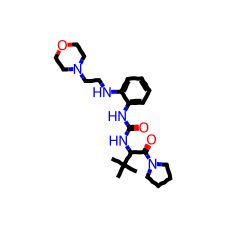 CC(C)(C)C(NC(=O)Nc1ccccc1NCCN1CCOCC1)C(=O)N1CCCC1